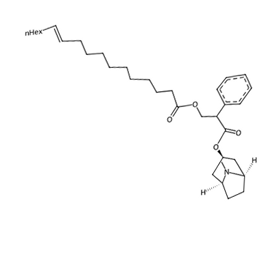 CCCCCC/C=C/CCCCCCCCCC(=O)OCC(C(=O)O[C@H]1C[C@H]2CC[C@@H](C1)N2C)c1ccccc1